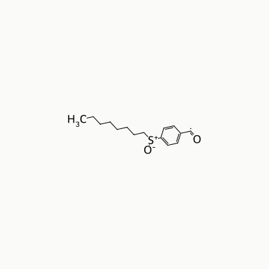 CCCCCCCC[S+]([O-])c1ccc([C]=O)cc1